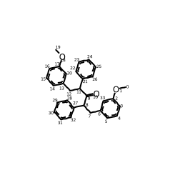 COc1cccc(CC(C(=O)C(Cc2cccc(OC)c2)c2ccccc2)c2ccccc2)c1